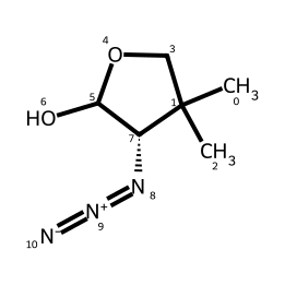 CC1(C)COC(O)[C@H]1N=[N+]=[N-]